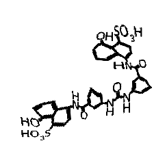 O=C(Nc1cccc(C(=O)Nc2ccc(S(=O)(=O)O)c3c(O)cccc23)c1)Nc1cccc(C(=O)Nc2ccc(S(=O)(=O)O)c3c(O)cccc23)c1